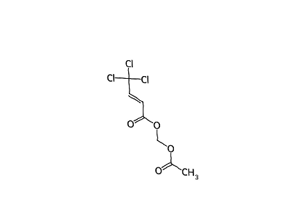 CC(=O)OCOC(=O)C=CC(Cl)(Cl)Cl